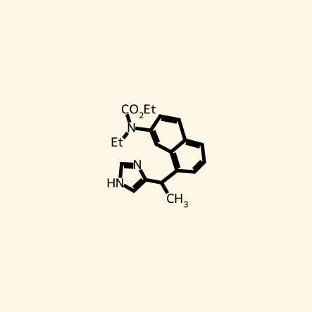 CCOC(=O)N(CC)c1ccc2cccc(C(C)c3c[nH]cn3)c2c1